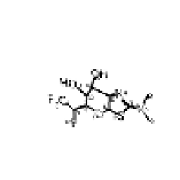 CN(C)C1=NC2C(OC([C@@H](F)C(F)(F)F)C(O)C2O)S1